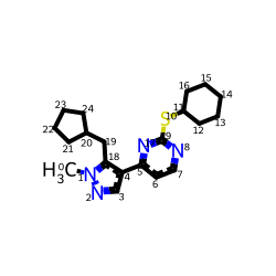 Cn1ncc(-c2ccnc(SC3CCCCC3)n2)c1CC1CCCC1